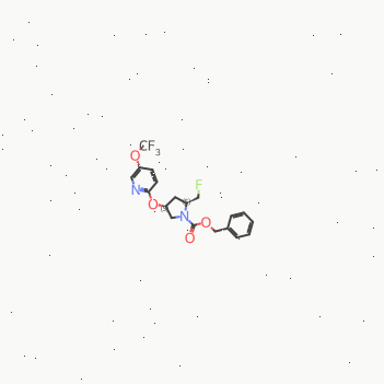 O=C(OCc1ccccc1)N1C[C@@H](Oc2ccc(OC(F)(F)F)cn2)C[C@H]1CF